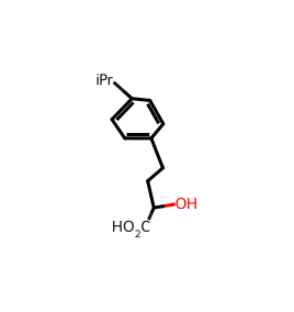 CC(C)c1ccc(CCC(O)C(=O)O)cc1